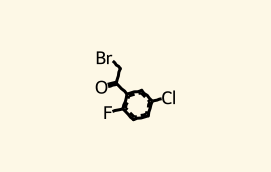 O=C(CBr)c1cc(Cl)ccc1F